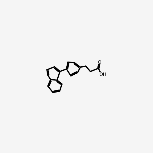 O=C(O)CCc1ccc(-c2cccc3ccccc23)cc1